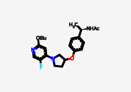 CC(=O)N[C@@H](C)c1ccc(OC2CCN(c3cc(OCC(C)C)ncc3F)C2)cc1